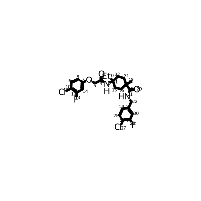 CCC1(NC(=O)COc2ccc(Cl)c(F)c2)CCC(C)(C(=O)NCc2ccc(Cl)c(F)c2)CC1